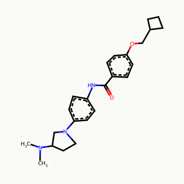 CN(C)C1CCN(c2ccc(NC(=O)c3ccc(OCC4CCC4)cc3)cc2)C1